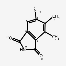 Cc1c(N)cc2c(c1C)C(=O)NC2=O